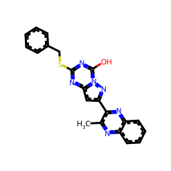 Cc1nc2ccccc2nc1-c1cc2nc(SCc3ccccc3)nc(O)n2n1